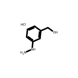 Cl.NNc1cccc(CO)c1